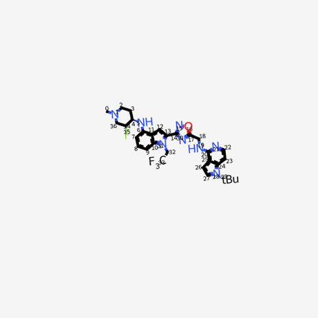 CN1CC[C@@H](Nc2cccc3c2cc(-c2noc(CNc4nccc5c4ccn5C(C)(C)C)n2)n3CC(F)(F)F)[C@@H](F)C1